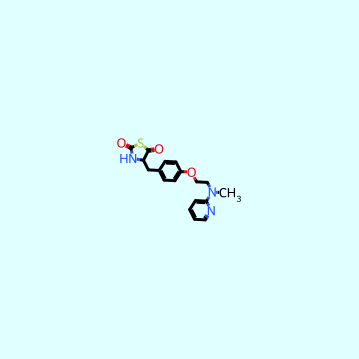 CN(CCOc1ccc(CC2NC(=O)SC2=O)cc1)c1ccccn1